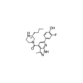 CCCC[C@H]1CN(C(=O)c2cc(-c3ccc(O)c(F)c3)nc3[nH]nc(C)c23)CCN1